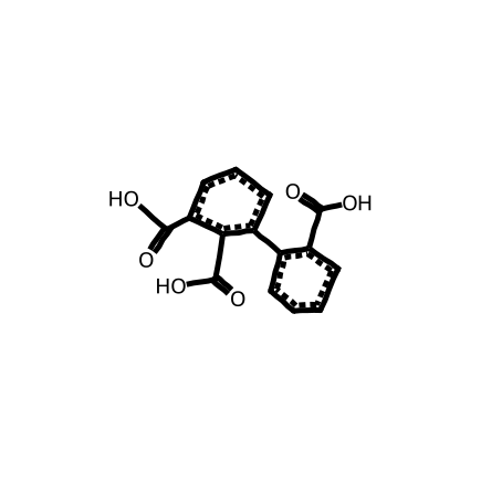 O=C(O)c1ccccc1-c1cccc(C(=O)O)c1C(=O)O